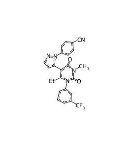 CCc1c(-c2ccnn2-c2ccc(C#N)cc2)c(=O)n(C)c(=O)n1-c1cccc(C(F)(F)F)c1